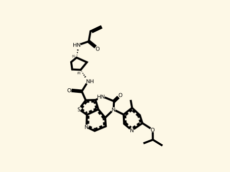 C=CC(=O)N[C@H]1CC[C@@H](NC(=O)c2sc3nccc4c3c2NC(=O)N4c2cnc(OC(C)C)cc2C)C1